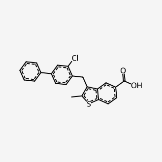 Cc1sc2ccc(C(=O)O)cc2c1Cc1ccc(-c2ccccc2)cc1Cl